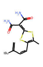 C=C(/C=C\C1=C(C)SC(=C(C(N)=O)C(N)=O)S1)C(C)(C)C